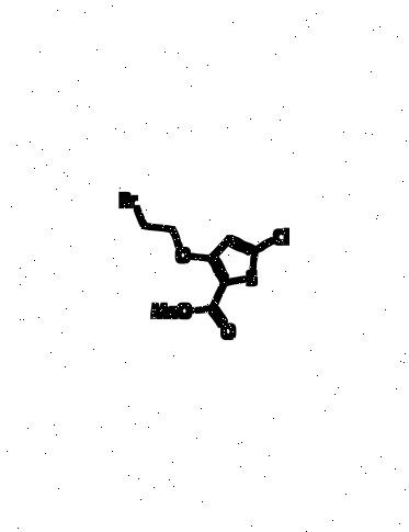 COC(=O)c1sc(Cl)cc1OCCBr